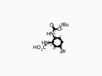 CC(C)(C)OC(=O)Nc1ccc(Br)cc1NC(=O)O